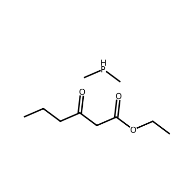 CCCC(=O)CC(=O)OCC.CPC